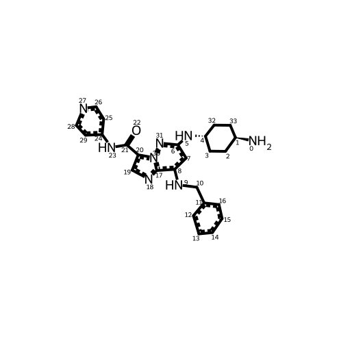 N[C@H]1CC[C@H](Nc2cc(NCc3ccccc3)c3ncc(C(=O)Nc4ccncc4)n3n2)CC1